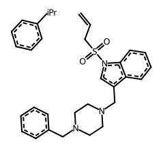 C=CCS(=O)(=O)n1cc(CN2CCN(Cc3ccccc3)CC2)c2ccccc21.CC(C)c1ccccc1